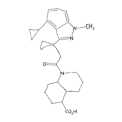 Cn1nc(C2(CC(=O)N3CCCC4C(C(=O)O)CCCC43)CC2)c2c(C3CC3)cccc21